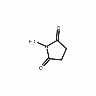 O=C1CCC(=O)N1C(F)(F)F